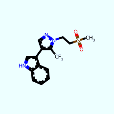 CS(=O)(=O)CCn1ncc(-c2c[nH]c3ccccc23)c1C(F)(F)F